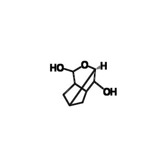 OC1O[C@@H]2C3CC1C(C3)C2O